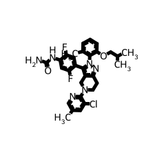 Cc1cnc(N2CCc3nn(-c4c(C)cccc4OCC(C)C)c(-c4cc(F)c(NC(N)=O)cc4F)c3C2)c(Cl)c1